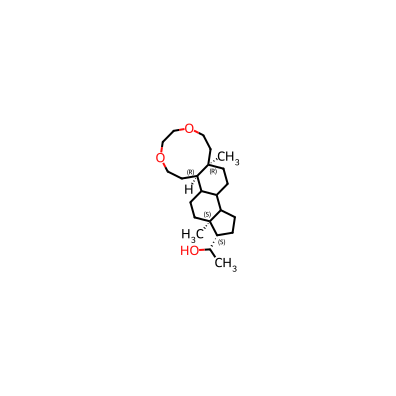 CC(O)[C@H]1CCC2C3CC[C@]4(C)CCOCCOCC[C@@H]4C3CC[C@@]21C